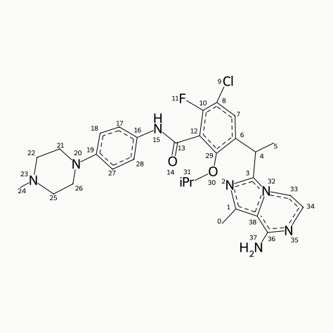 Cc1nc(C(C)c2cc(Cl)c(F)c(C(=O)Nc3ccc(N4CCN(C)CC4)cc3)c2OC(C)C)n2ccnc(N)c12